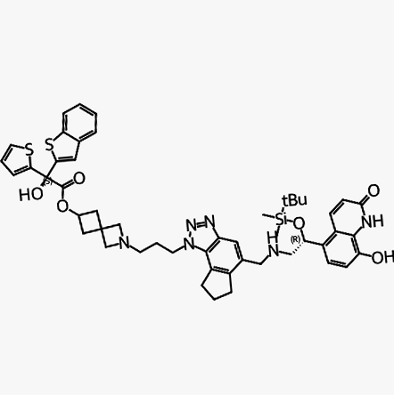 CC(C)(C)[Si](C)(C)O[C@@H](CNCc1cc2nnn(CCCN3CC4(CC(OC(=O)[C@](O)(c5cccs5)c5cc6ccccc6s5)C4)C3)c2c2c1CCC2)c1ccc(O)c2[nH]c(=O)ccc12